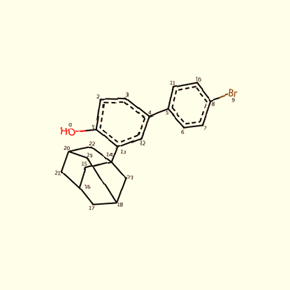 Oc1ccc(-c2ccc(Br)cc2)cc1C12CC3CC(CC(C3)C1)C2